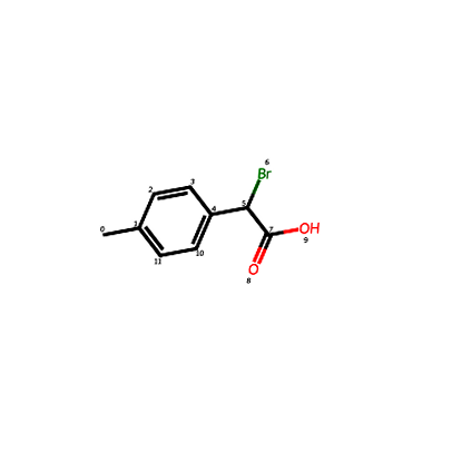 Cc1ccc(C(Br)C(=O)O)cc1